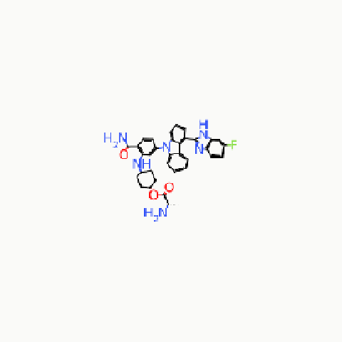 C[C@H](N)C(=O)O[C@H]1CC[C@H](Nc2cc(-n3c4ccccc4c4c(-c5nc6ccc(F)cc6[nH]5)cccc43)ccc2C(N)=O)CC1